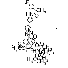 C[C@@H](C(=O)Nc1ccc(-c2ccc3nc(N(C(=O)OCOC(=O)[C@@H](NC(=O)OC(C)(C)C)C(C)(C)C)c4ccc(S(C)(=O)=O)cc4OCC(F)(F)F)nn3c2)cc1)c1ccc(F)cc1